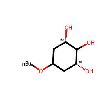 CCCCOC1C[C@@H](O)C(O)[C@H](O)C1